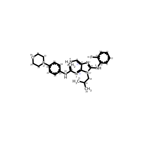 C=C(/N=C1\C(=C/N)N=C(Nc2ccccc2F)N1CC(C)C)Nc1ccc(N2CCOCC2)cc1